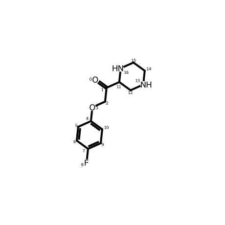 O=C(COc1ccc(F)cc1)C1CNCCN1